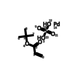 C=CC(=O)OC(C)(C)C.O=S(=O)(O)O.[Pd]